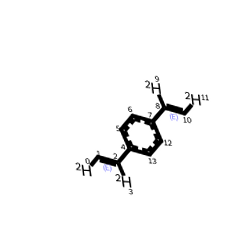 [2H]/C=C(\[2H])c1ccc(/C([2H])=C/[2H])cc1